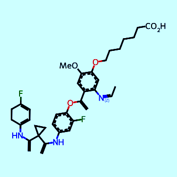 C=C(Oc1ccc(NC(=C)C2(C(=C)NC3=CC=C(F)CC3)CC2)cc1F)c1cc(OC)c(OCCCCCCC(=O)O)cc1/N=C\C